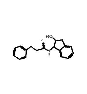 O=C(CCc1ccccc1)NC1c2ccccc2CC1O